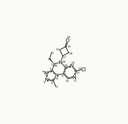 CC[C@@H]1c2nnc(C)n2-c2cnc(Cl)nc2N1C1CC(=O)C1